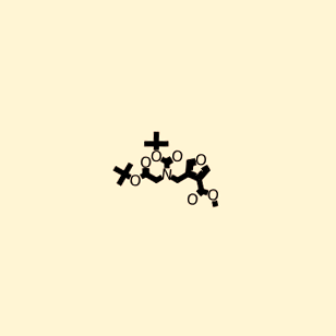 COC(=O)c1cocc1CN(CC(=O)OC(C)(C)C)C(=O)OC(C)(C)C